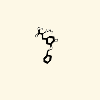 Cl.N[C@@H](Cc1cccc(OCc2ccccc2)c1)C(=O)O